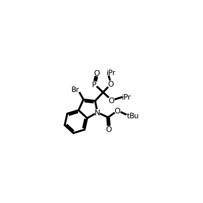 CC(C)OC(OC(C)C)(P=O)c1c(Br)c2ccccc2n1C(=O)OC(C)(C)C